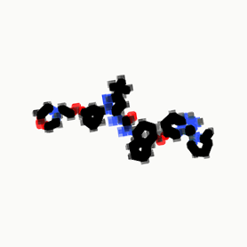 CC1CCCCN1c1nnc2ccc(O[C@@H]3CC[C@H](NC(=O)Nc4cc(C(C)(C)C)nn4-c4cccc(OCCN5CCOCC5)c4)c4ccccc43)cn12